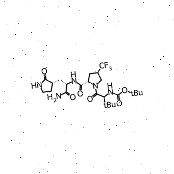 CC(C)(C)OC(=O)N[C@H](C(=O)N1C[C@H](C(F)(F)F)C[C@H]1C(=O)N[C@@H](C[C@@H]1CCNC1=O)C(N)=O)C(C)(C)C